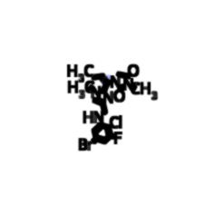 CC/C=C(\c1nc(CNc2cc(Br)cc(F)c2Cl)cn1C)N1CC(=O)N(C)C1=O